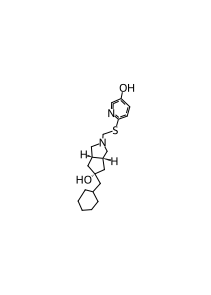 Oc1ccc(SCN2C[C@@H]3C[C@@](O)(CC4CCCCC4)C[C@@H]3C2)nc1